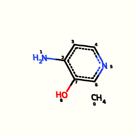 C.Nc1ccncc1O